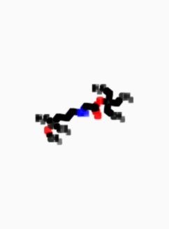 CC[Si](CC)(CC)OC(=O)CNCCC[Si](C)(C)OC